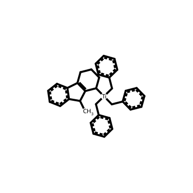 CC1C2=C(CCC[CH]2[Ti]([CH2]c2ccccc2)([CH2]c2ccccc2)[CH2]c2ccccc2)c2ccccc21